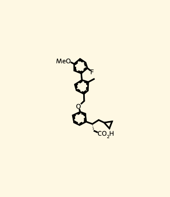 COc1ccc(F)c(-c2ccc(COc3cccc([C@@H](CC(=O)O)CC4CC4)c3)cc2C)c1